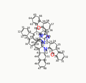 CC(c1ccccc1)C1c2ccccc2-c2cccc(-c3nc(-c4ccc5c(oc6ccccc65)c4-n4c5ccccc5c5cc6ccccc6cc54)nc(-c4cccc5c4oc4ccccc45)n3)c21